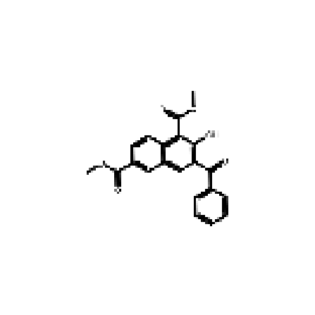 COC(=O)c1ccc2c(C(=O)OC)c(O)c(C(=O)c3ccccc3)cc2c1